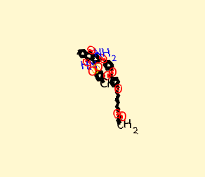 C=CC(=O)OCCCCCCOc1ccc(C(=O)Oc2ccc(Oc3cc(NS(=O)(=O)c4ccc(C)cc4)c4c(c3N)C(=O)c3ccccc3C4=O)cc2)cc1